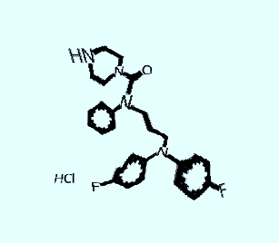 Cl.O=C(N1CCNCC1)N(CCCN(c1ccc(F)cc1)c1ccc(F)cc1)c1ccccc1